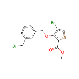 COC(=O)c1scc(Br)c1OCc1cccc(CBr)c1